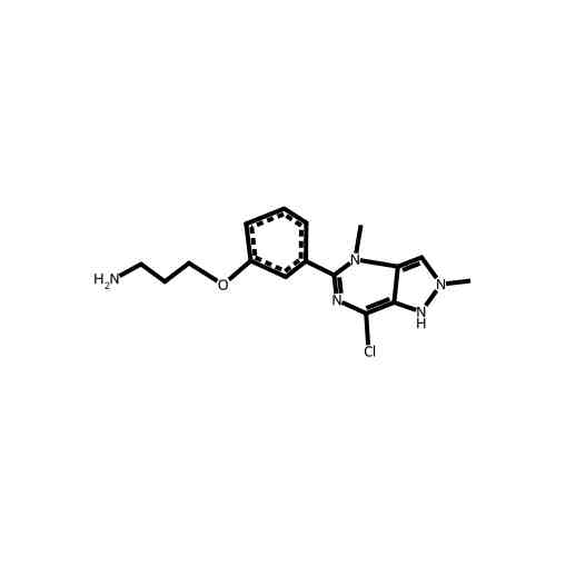 CN1C=C2C(=C(Cl)N=C(c3cccc(OCCCN)c3)N2C)N1